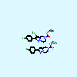 CC(C)(C)OC(=O)N1CCn2nc(-c3ccc(F)cc3)c(Br)c2C1.CC(C)(C)OC(=O)N1CCn2nc(-c3ccc(F)cc3)cc2C1